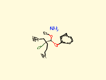 CCOC(Oc1ccccc1)C(Cl)(CC(C)C)CC(C)C.N